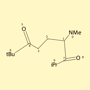 CNC(CCC(=O)C(C)(C)C)C(=O)C(C)C